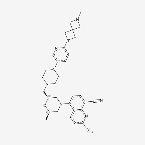 Bc1ccc2c(N3C[C@H](CN4CCN(c5ccc(N6CC7(CN(C)C7)C6)nc5)CC4)O[C@H](C)C3)ccc(C#N)c2n1